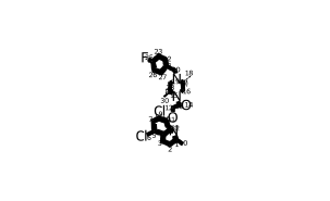 Cc1ccc2c(Cl)cc(Cl)c(OCC(=O)N3C[C@@H](C)N(Cc4ccc(F)cc4)C[C@@H]3C)c2n1